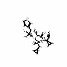 N#CC1(NC(=O)[C@H](CS(=O)(=O)CC2CC2)N[C@@H](c2ccsc2)C(F)(F)F)CC1